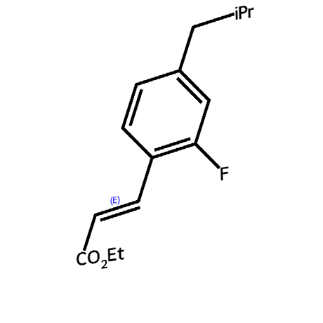 CCOC(=O)/C=C/c1ccc(CC(C)C)cc1F